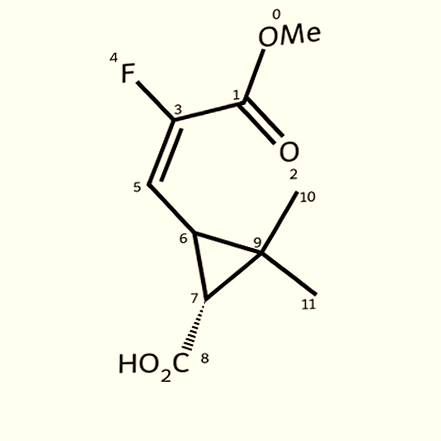 COC(=O)/C(F)=C\C1[C@@H](C(=O)O)C1(C)C